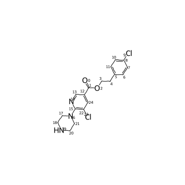 O=C(OCCc1ccc(Cl)cc1)c1cnc(N2CCNCC2)c(Cl)c1